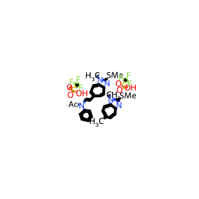 CSC1=NC2C=CC(C)=CC=C2N1C.CSC1=NC2C=CC(C=CN(C(C)=O)c3ccccc3)=CC=C2N1C.O=S(=O)(O)C(F)(F)F.O=S(=O)(O)C(F)(F)F